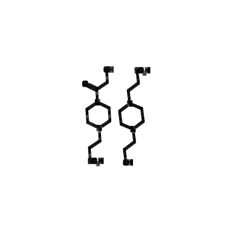 O=C(CO)N1CCN(CCS(=O)(=O)O)CC1.O=S(=O)(O)CCN1CCN(CCO)CC1